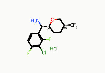 Cl.NC(c1ccc(F)c(Cl)c1F)[C@H]1CC[C@H](C(F)(F)F)CO1